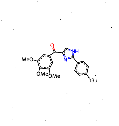 COc1cc(C(=O)c2c[nH]c(-c3ccc(C(C)(C)C)cc3)n2)cc(OC)c1OC